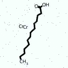 CCCCCCCCCCCCCC(=O)O.[Cr].[Cr]